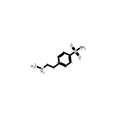 [CH2-][NH2+]CCc1ccc(S(N)(=O)=O)cc1